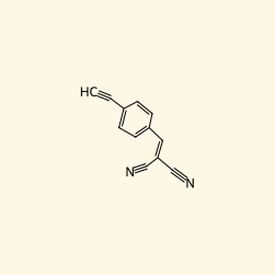 C#Cc1ccc(C=C(C#N)C#N)cc1